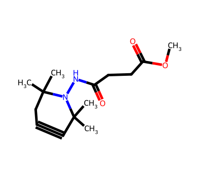 COC(=O)CCC(=O)NN1C(C)(C)C#CCC1(C)C